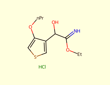 CCCOc1cscc1C(O)C(=N)OCC.Cl